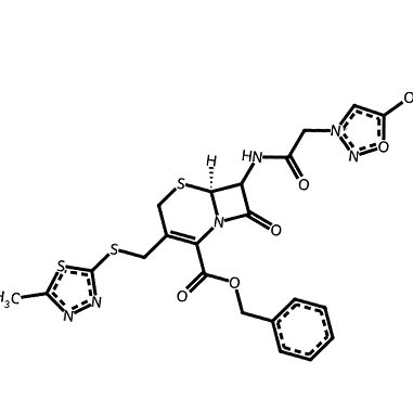 Cc1nnc(SCC2=C(C(=O)OCc3ccccc3)N3C(=O)C(NC(=O)C[n+]4cc([O-])on4)[C@@H]3SC2)s1